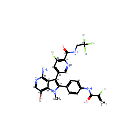 C=C(F)C(=O)Nc1ccc(-c2c(-c3cnc(C(=O)NCC(F)(F)F)c(F)c3)c3c(N)ncc(Br)c3n2C)cc1